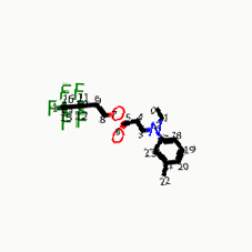 CCN(CCC(=O)OCCC(F)(F)C(F)(F)F)c1cccc(C)c1